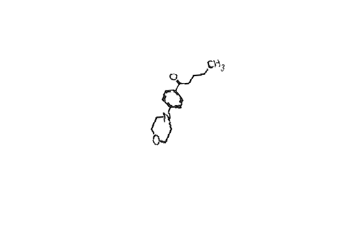 CCCCC(=O)c1ccc(N2CCOCC2)cc1